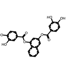 O=C(Oc1cc(OC(=O)c2ccc(O)c(O)c2)c2ccccc2c1)c1ccc(O)c(O)c1